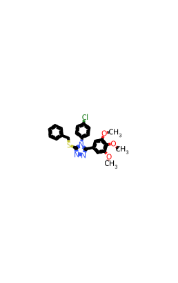 COc1cc(-c2nnc(SCc3ccccc3)n2-c2ccc(Cl)cc2)cc(OC)c1OC